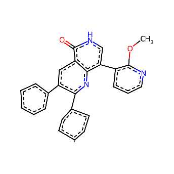 COc1ncccc1-c1c[nH]c(=O)c2cc(-c3ccccc3)c(-c3cc[c]cc3)nc12